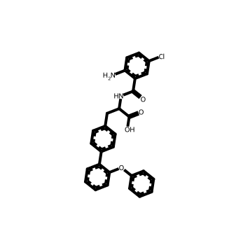 Nc1ccc(Cl)cc1C(=O)NC(Cc1ccc(-c2ccccc2Oc2ccccc2)cc1)C(=O)O